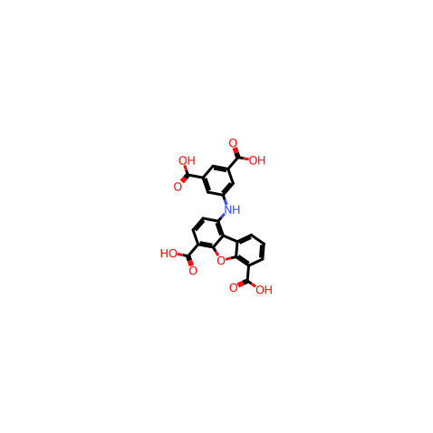 O=C(O)c1cc(Nc2ccc(C(=O)O)c3oc4c(C(=O)O)cccc4c23)cc(C(=O)O)c1